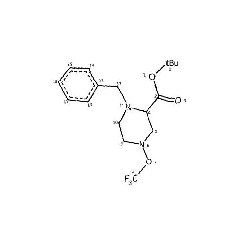 CC(C)(C)OC(=O)C1CN(OC(F)(F)F)CCN1Cc1ccccc1